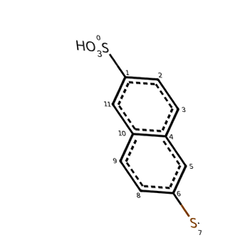 O=S(=O)(O)c1ccc2cc([S])ccc2c1